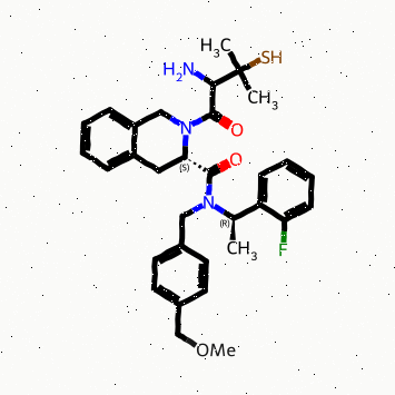 COCc1ccc(CN(C(=O)[C@@H]2Cc3ccccc3CN2C(=O)C(N)C(C)(C)S)[C@H](C)c2ccccc2F)cc1